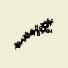 O=C(NC12CC(n3cc(CCCOC(F)(F)F)cn3)(C1)C2)[C@H]1C[C@@H](O)c2cc(C(F)(F)F)ccc2O1